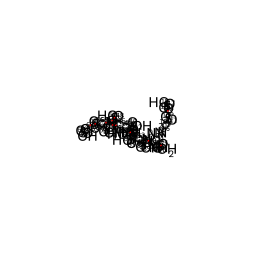 Nc1c(/N=N/c2ccc(S(=O)(=O)CCOS(=O)(=O)O)cc2)cc(S(=O)(=O)O)c(N)c1/N=N/c1cc(/N=N/c2c(S(=O)(=O)O)cc3cc(S(=O)(=O)O)c(/N=N/c4ccc(S(=O)(=O)CCOS(=O)(=O)O)cc4S(=O)(=O)O)c(N)c3c2O)c(S(=O)(=O)O)cc1S(=O)(=O)O